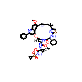 C=C[C@@H]1C[C@]1(NC(=O)[C@@H]1C[C@@H]2CN1C(=O)[C@H](C1CCCCC1)Nc1nc(cs1)C(C)(C)C/C=C/c1cc3c(cc(-c4ccccc4)nc3cc1OC)O2)C(=O)NS(=O)(=O)C1CC1